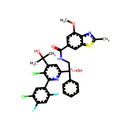 COc1cc(C(=O)NC[C@@](O)(c2ccccc2)c2cc(C(C)(C)O)c(Cl)c(-c3cc(Cl)c(F)cc3F)n2)cc2sc(C)nc12